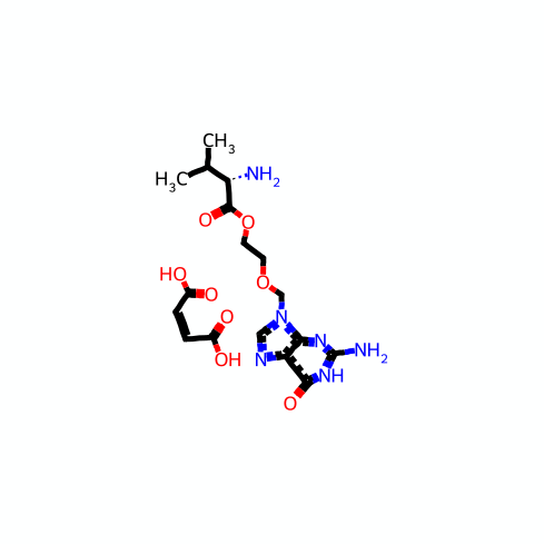 CC(C)[C@H](N)C(=O)OCCOCn1cnc2c(=O)[nH]c(N)nc21.O=C(O)/C=C\C(=O)O